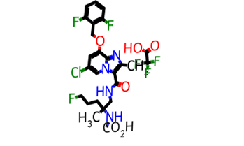 Cc1nc2c(OCc3c(F)cccc3F)cc(Cl)cn2c1C(=O)NCC(C)(CCCF)NC(=O)O.O=C(O)C(F)(F)F